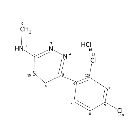 CNC1=NN=C(c2ccc(Cl)cc2Cl)CS1.Cl